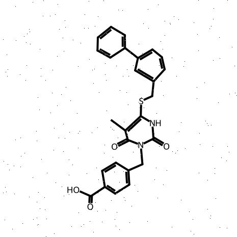 Cc1c(SCc2cccc(-c3ccccc3)c2)[nH]c(=O)n(Cc2ccc(C(=O)O)cc2)c1=O